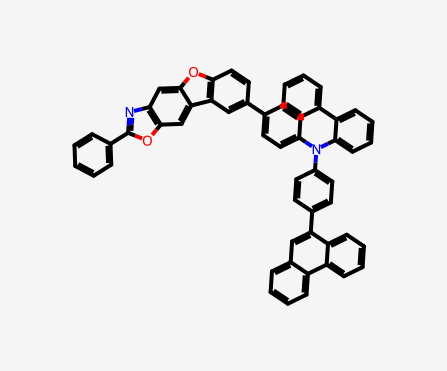 c1ccc(-c2nc3cc4oc5ccc(-c6ccc(N(c7ccc(-c8cc9ccccc9c9ccccc89)cc7)c7ccccc7-c7ccccc7)cc6)cc5c4cc3o2)cc1